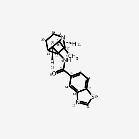 C[C@H]1[C@H](NC(=O)c2ccc3scnc3c2)C2CCN1CC2